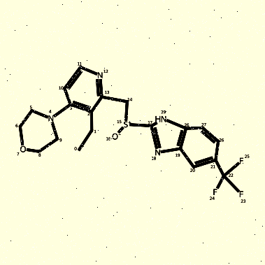 CCc1c(N2CCOCC2)ccnc1C[S+]([O-])c1nc2cc(C(F)(F)F)ccc2[nH]1